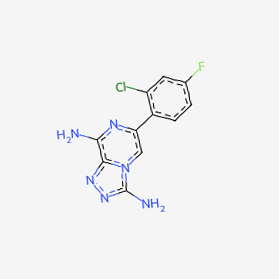 Nc1nc(-c2ccc(F)cc2Cl)cn2c(N)nnc12